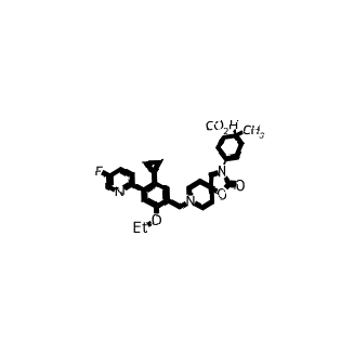 CCOc1cc(-c2ccc(F)cn2)c(C2CC2)cc1CN1CCC2(CC1)CN([C@H]1CC[C@](C)(C(=O)O)CC1)C(=O)O2